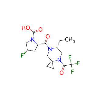 CC[C@@H]1CN(C(=O)C(F)(F)F)C2(CC2)CN1C(=O)[C@@H]1C[C@@H](F)CN1C(=O)O